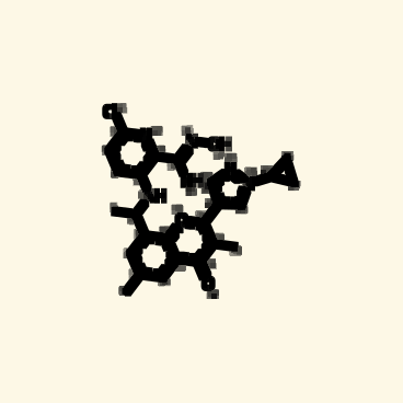 Cc1cc(C(C)Nc2ccc(Cl)nc2C(N)=NO)c2oc(-c3cnn(C4CC4)c3)c(C)c(=O)c2c1